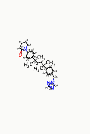 CC(C)(CCC(C)(C)c1ccc(N2CCCCC2=O)cc1)c1ccc(Cn2cncn2)cc1